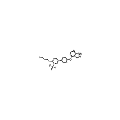 FCCCCc1ccc(-c2c[c]c(Oc3ccnc4[nH]ncc34)cc2)cc1C(F)(F)F